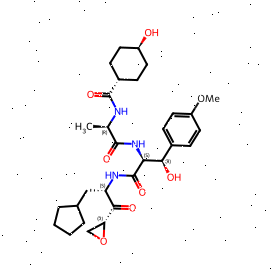 COc1ccc([C@@H](O)[C@H](NC(=O)[C@@H](C)NC(=O)[C@H]2CC[C@H](O)CC2)C(=O)N[C@@H](CC2CCCC2)C(=O)[C@H]2CO2)cc1